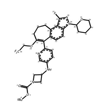 CC(C)(C)OC(=O)N1CC(Nc2ccc(C3=C(OCC(F)(F)F)CCCc4c3ccc3c4c(F)nn3C3CCCCO3)nc2)C1